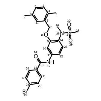 Cc1ccc(C)c(COc2cc(NC(=O)c3ccc(Br)cc3)ccc2N(C)S(C)(=O)=O)c1